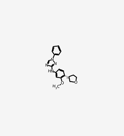 COc1cc(Nc2ncn(-c3ccccc3)n2)ccc1[C@@H]1CCOC1